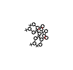 CC(C)(C)c1cc(-c2cccc(N(c3cc(-c4ccccc4)cc(-c4ccccc4)c3)c3cc(N(c4cccc(-c5cc(C(C)(C)C)cc(C(C)(C)C)c5)c4)c4cc(-c5ccccc5)cc(-c5ccccc5)c4)cc(C4(c5ccccc5)c5ccccc5-c5ccccc54)c3)c2)cc(C(C)(C)C)c1